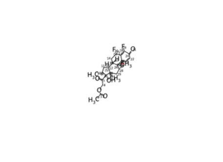 CC(=O)OCC(=O)[C@@]1(O)[C@H](C)C[C@H]2[C@@H]3C[C@H](F)C4=C(F)C(=O)C=C[C@]4(C)[C@]34OC4C[C@@]21C